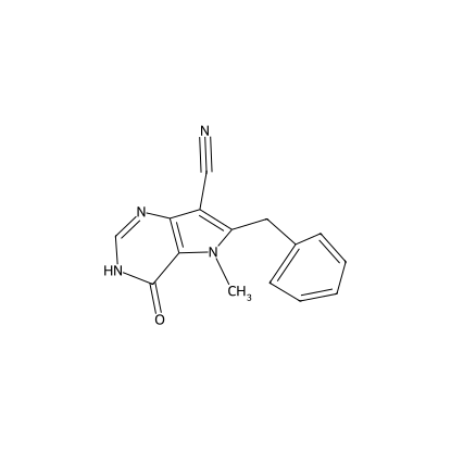 Cn1c(Cc2ccccc2)c(C#N)c2nc[nH]c(=O)c21